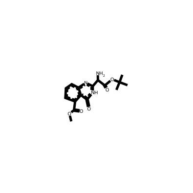 COC(=O)c1cccc2nc(C(N)C(=O)OC(C)(C)C)[nH]c(=O)c12